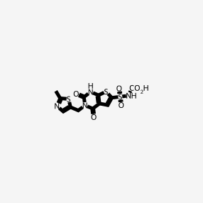 Cc1ncc(Cn2c(=O)[nH]c3sc(S(=O)(=O)NC(=O)O)cc3c2=O)s1